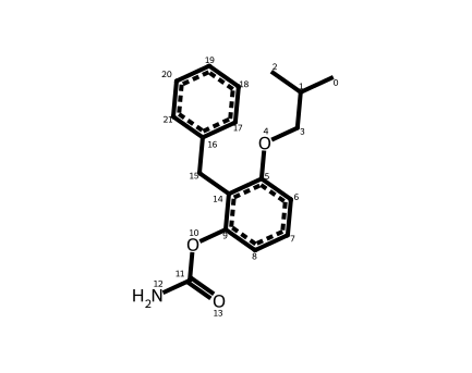 CC(C)COc1cccc(OC(N)=O)c1Cc1ccccc1